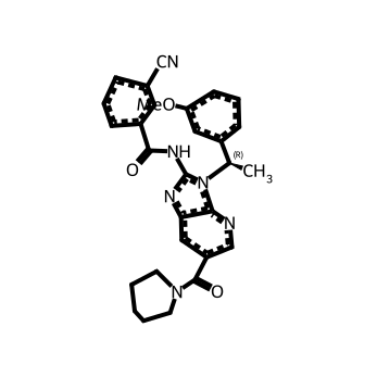 COc1cccc([C@@H](C)n2c(NC(=O)c3cccc(C#N)c3)nc3cc(C(=O)N4CCCCC4)cnc32)c1